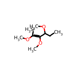 CCC(OC)C(OC)=C([SiH3])OC